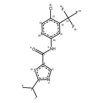 CC(C)c1ncc(C(=O)Nc2cc(C(F)(F)F)c(Cl)cn2)s1